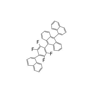 Fc1c(F)c(-c2c3ccccc3c(-c3cccc4ccccc34)c3ccccc23)c(F)c(F)c1-c1cccc2ccccc12